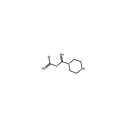 N=C(Br)SC(=N)N1CCNCC1